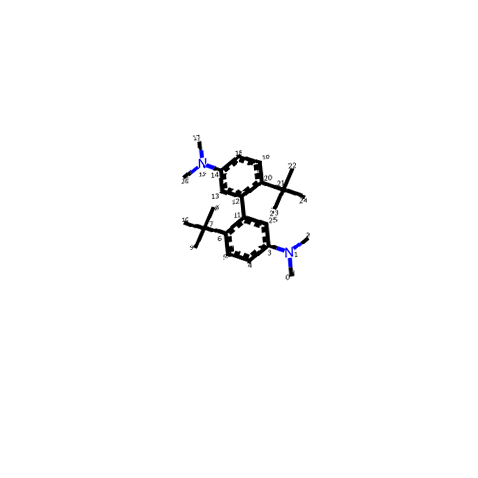 CN(C)c1ccc(C(C)(C)C)c(-c2cc(N(C)C)ccc2C(C)(C)C)c1